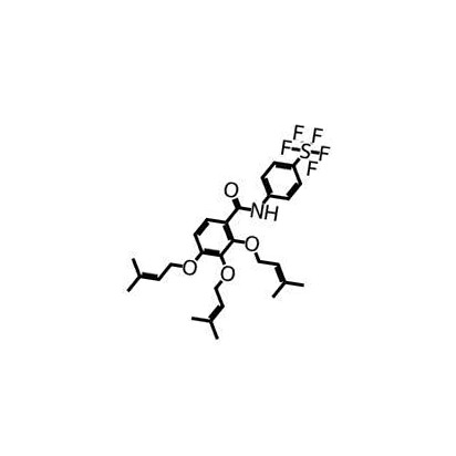 CC(C)=CCOc1ccc(C(=O)Nc2ccc(S(F)(F)(F)(F)F)cc2)c(OCC=C(C)C)c1OCC=C(C)C